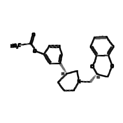 O=C(O)C(=O)Oc1cccc([C@H]2CCCN(C[C@H]3COc4ccccc4O3)C2)c1